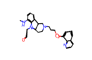 CNc1cccc2c1N(CC=O)C1CCN(CCCOc3cccc4cccnc34)CC21